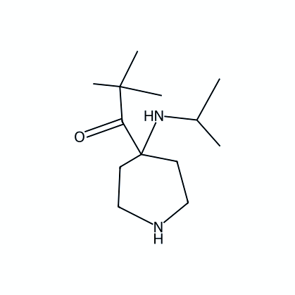 CC(C)NC1(C(=O)C(C)(C)C)CCNCC1